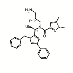 Cc1cc(C(=O)N(C[C@H](F)CN)[C@@H](c2nc(-c3ccccc3)cn2Cc2ccccc2)C(C)(C)C)nn1C